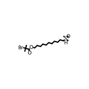 CC(C)(Br)C(=O)OCCCCCCCCCCC[SH](C)(C)=O